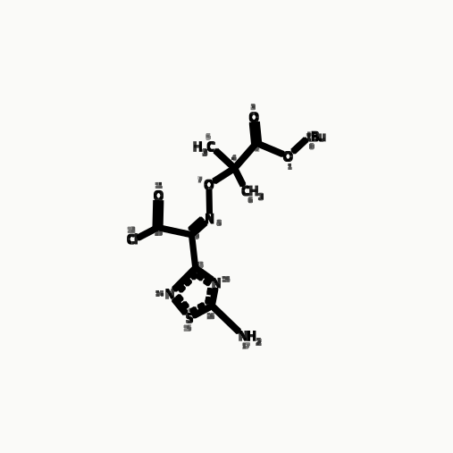 CC(C)(C)OC(=O)C(C)(C)O/N=C(\C(=O)Cl)c1nsc(N)n1